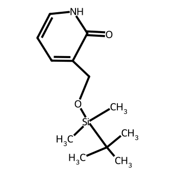 CC(C)(C)[Si](C)(C)OCc1ccc[nH]c1=O